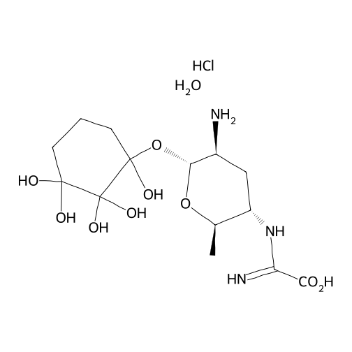 C[C@H]1O[C@H](OC2(O)CCCC(O)(O)C2(O)O)[C@@H](N)C[C@@H]1NC(=N)C(=O)O.Cl.O